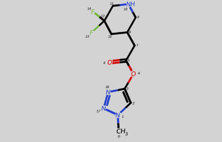 Cn1cc(OC(=O)CC2CNCC(F)(F)C2)nn1